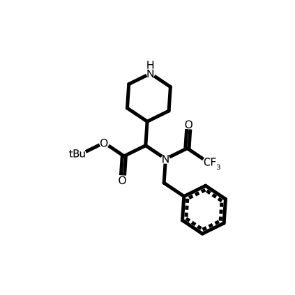 CC(C)(C)OC(=O)C(C1CCNCC1)N(Cc1ccccc1)C(=O)C(F)(F)F